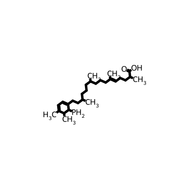 CC1=CC=C(CCC(C)CCCC(C)CCC/C(C)=C/CCC(C)C(=O)O)C(P)C1C